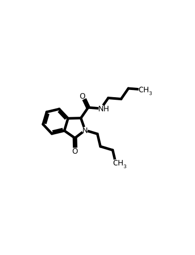 CCCCNC(=O)C1c2ccccc2C(=O)N1CCCC